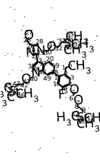 CCc1cc(OCOCC[Si](C)(C)C)c(F)cc1-c1ccc2c(-c3nc(C=O)cn3COCC[Si](C)(C)C)cn(COCC[Si](C)(C)C)c2c1